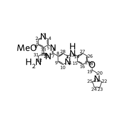 COc1cncc2nc(-c3ccnc(Nc4ccc(OCCN5CCCC5)cc4)c3)nc(CN)c12